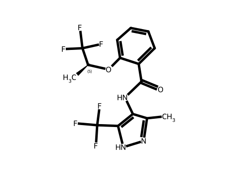 Cc1n[nH]c(C(F)(F)F)c1NC(=O)c1ccccc1O[C@@H](C)C(F)(F)F